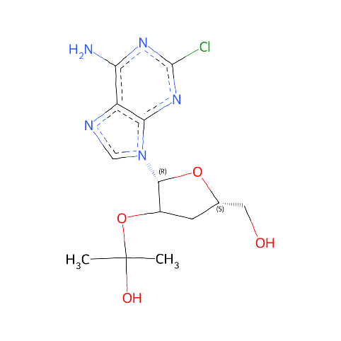 CC(C)(O)OC1C[C@@H](CO)O[C@H]1n1cnc2c(N)nc(Cl)nc21